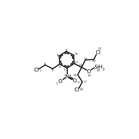 O=[N+]([O-])c1c(CCCl)cccc1C(CCCl)(CCCl)O[SiH3]